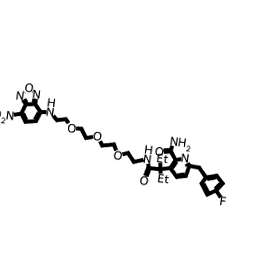 CCC(CC)(C(=O)NCCOCCOCCOCCNc1ccc([N+](=O)[O-])c2nonc12)c1ccc(Cc2ccc(F)cc2)nc1C(N)=O